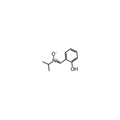 CC(C)[N+]([O-])=Cc1ccccc1O